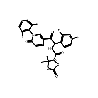 CC1(C)OC(=O)O[C@@H]1C(=O)NC(C(=O)c1ccc(=O)n(-c2c(F)cccc2F)c1)c1ccc(F)cc1F